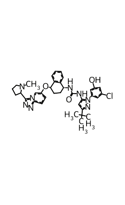 CN1CCCC1c1nnc2ccc(O[C@@H]3CC[C@H](NC(=O)Nc4cc(C(C)(C)C)nn4-c4cc(O)cc(Cl)c4)c4ccccc43)cn12